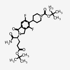 CC(C)(C)OC(=O)CC[C@@H](C(N)=O)N1Cc2c(cc(F)c(C3CCN(C(=O)OC(C)(C)C)CC3)c2F)C1=O